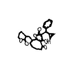 O=C1CCCCC(CC2CCCOC2=O)c2oc(=O)c(C(c3ccccc3)C3CC3)c(O)c21